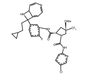 CO[C@]1(C(F)(F)F)C[C@H](C(=O)Nc2cc(C3(CCC4CC4)NC4C=CN=CC=C43)ccc2F)N(C(=O)Nc2ccc(Cl)cn2)C1